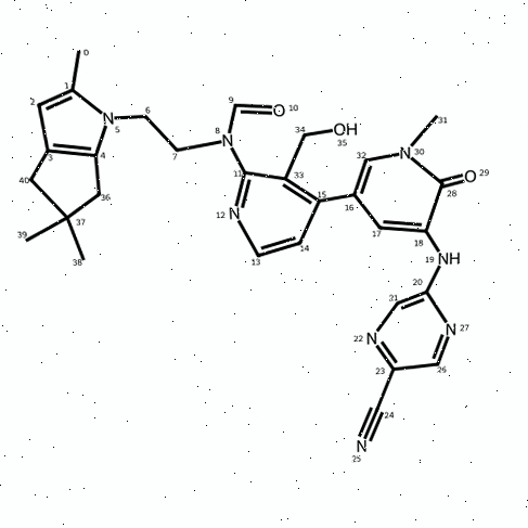 Cc1cc2c(n1CCN(C=O)c1nccc(-c3cc(Nc4cnc(C#N)cn4)c(=O)n(C)c3)c1CO)CC(C)(C)C2